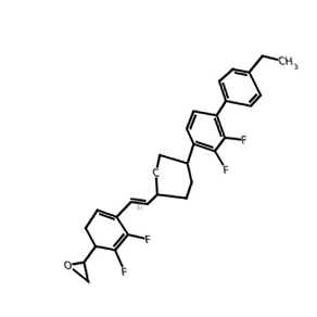 CCc1ccc(-c2ccc(C3CCC(/C=C/C4=CCC(C5CO5)C(F)=C4F)CC3)c(F)c2F)cc1